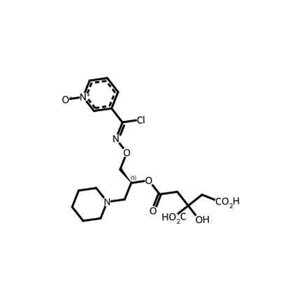 O=C(O)CC(O)(CC(=O)O[C@H](CON=C(Cl)c1ccc[n+]([O-])c1)CN1CCCCC1)C(=O)O